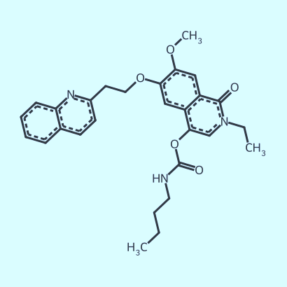 CCCCNC(=O)Oc1cn(CC)c(=O)c2cc(OC)c(OCCc3ccc4ccccc4n3)cc12